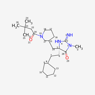 CN1C(=N)N[C@](CCC2CCCCC2)(CC2CCCN(C(=O)CC(C)(C)C)C2)C1=O